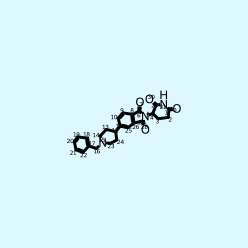 O=C1CCC(N2C(=O)c3ccc(C4CCN(Cc5ccccc5)CC4)cc3C2=O)C(=O)N1